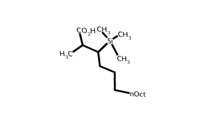 CCCCCCCCCCCC(C(C)C(=O)O)[Si](C)(C)C